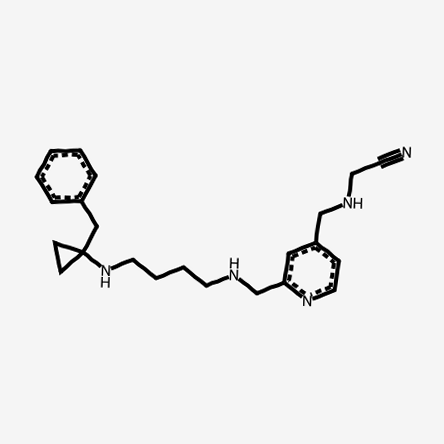 N#CCNCc1ccnc(CNCCCCNC2(Cc3ccccc3)CC2)c1